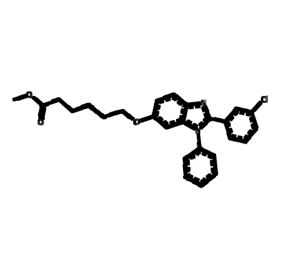 COC(=O)CCCCCOc1ccc2nc(-c3cccc(Cl)c3)n(-c3ccccc3)c2c1